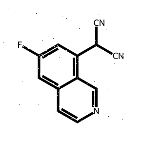 N#CC(C#N)c1cc(F)cc2ccncc12